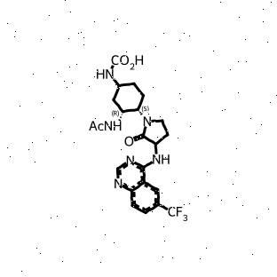 CC(=O)N[C@@H]1CC(NC(=O)O)CC[C@@H]1N1CCC(Nc2ncnc3ccc(C(F)(F)F)cc23)C1=O